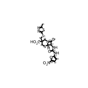 Cc1nnc(SCC2(C(=O)O)CS[C@@H]3C(NC(=O)Nc4ccc([N+](=O)[O-])o4)C(=O)N3C2)s1